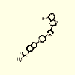 NC(=O)Oc1ccc2c(c1)CC(N1CCC(n3cc(-c4cnc5cccc(Br)c5n4)cn3)CC1)C2